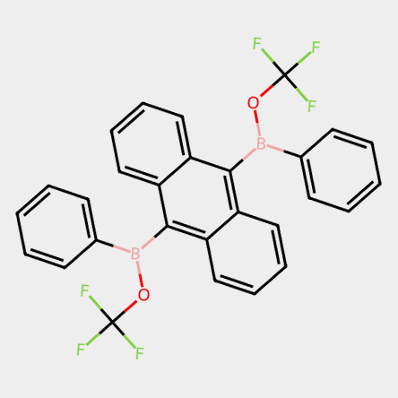 FC(F)(F)OB(c1ccccc1)c1c2ccccc2c(B(OC(F)(F)F)c2ccccc2)c2ccccc12